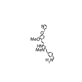 CNC(=C\C(=N)/C=C/c1ccc(OCc2cccnc2)cc1OC)/C=C/c1ccc(/C=C\N)cc1